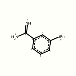 CC(C)(C)c1cccc(C(=N)N)c1